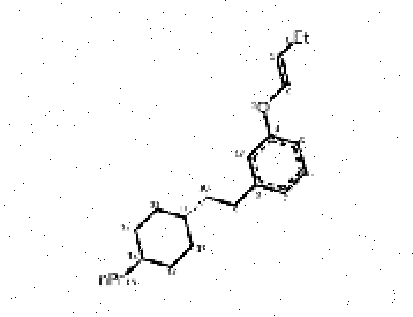 CCC=COc1cccc(CC[C@H]2CC[C@H](CCC)CC2)c1